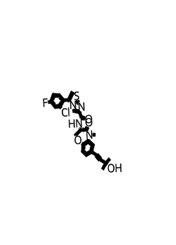 CN1C(=O)[C@@H](NC(=O)c2cn3c(-c4ccc(F)cc4Cl)csc3n2)COc2ccc(C#CC(C)(C)O)cc21